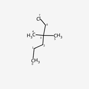 C[CH]CC(C)(C)CCl